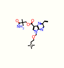 C=Cc1cnc2c(n1)c(C(=O)OCC(C)(C)C(N)=O)cn2COCC[Si](C)(C)C